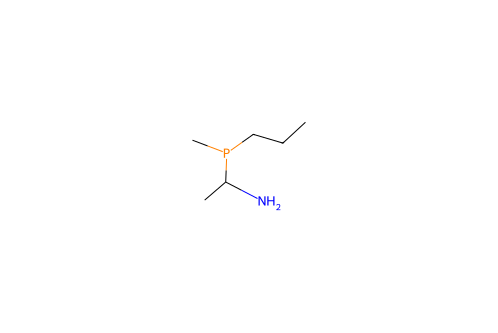 CCCP(C)C(C)N